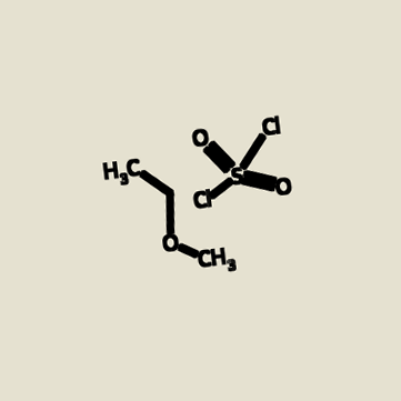 CCOC.O=S(=O)(Cl)Cl